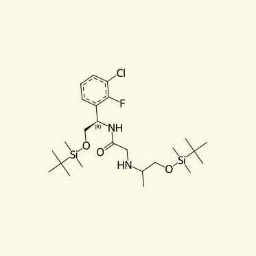 CC(CO[Si](C)(C)C(C)(C)C)NCC(=O)N[C@@H](CO[Si](C)(C)C(C)(C)C)c1cccc(Cl)c1F